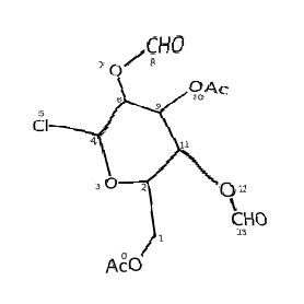 CC(=O)OCC1OC(Cl)C(OC=O)C(OC(C)=O)C1OC=O